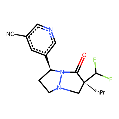 CCC[C@]1(C(F)F)CN2CC[C@@H](c3cncc(C#N)c3)N2C1=O